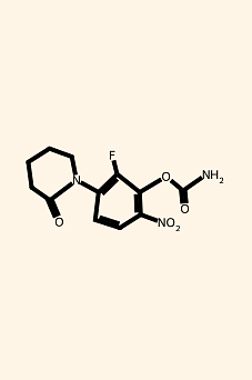 NC(=O)Oc1c([N+](=O)[O-])ccc(N2CCCCC2=O)c1F